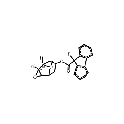 C[N+]1(C)C2CC(OC(=O)C3(F)c4ccccc4-c4ccccc43)C[C@H]1[C@H]1OC21